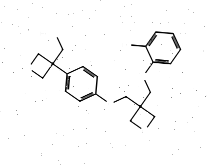 Cc1ccccc1OCC1(COc2ccc(C3(CC(=O)O)COC3)cc2)COC1